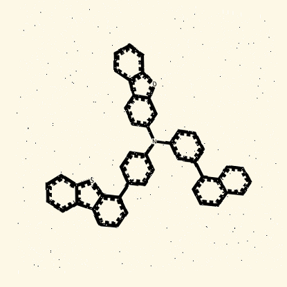 c1cc(-c2cccc3ccccc23)cc(N(c2ccc(-c3cccc4c3sc3ccccc34)cc2)c2ccc3c(c2)oc2ccccc23)c1